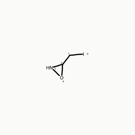 IC[C]1NO1